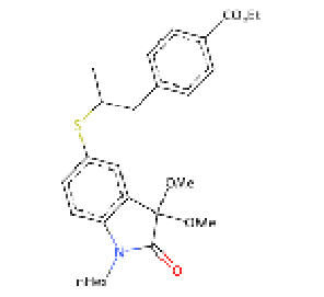 CCCCCCN1C(=O)C(OC)(OC)c2cc(SC(C)Cc3ccc(C(=O)OCC)cc3)ccc21